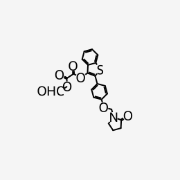 O=COC(=O)C(=O)Oc1c(-c2ccc(OCN3CCCC3=O)cc2)sc2ccccc12